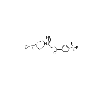 CC(C)(C1CC1)N1CCN(C(=O)CCC(=O)c2ccc(C(F)(F)F)cc2)CC1.Cl